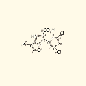 CC(C)c1coc2c(-c3cc(Cl)cc(Cl)c3)c(C(=O)O)[nH]c12